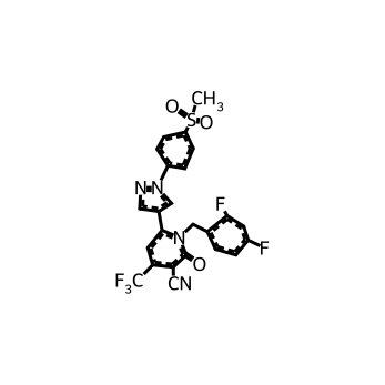 CS(=O)(=O)c1ccc(-n2cc(-c3cc(C(F)(F)F)c(C#N)c(=O)n3Cc3ccc(F)cc3F)cn2)cc1